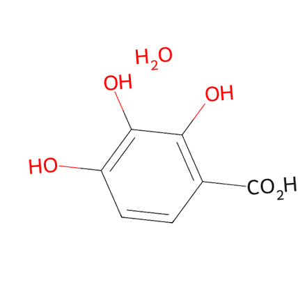 O.O=C(O)c1ccc(O)c(O)c1O